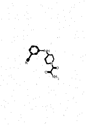 N#Cc1cccc(NC2CCN(C(=O)C(N)=O)CC2)c1